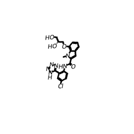 Cn1c(C(=O)Nc2ccc(Cl)cc2-c2nnn[nH]2)cc2cccc(OC[C@H](O)CO)c21